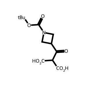 CC(C)(C)OC(=O)N1CC(C(=O)C(C(=O)O)C(=O)O)C1